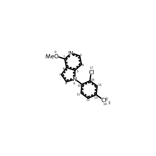 COc1nccc2c1ccn2-c1ccc(C(F)(F)F)cc1Cl